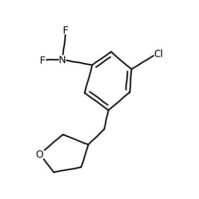 FN(F)c1cc(Cl)cc(CC2CCOC2)c1